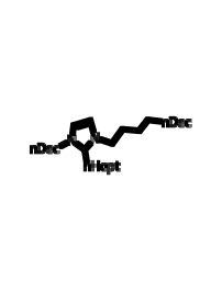 CCCCCCCCCCCCCCN1C=CN(CCCCCCCCCC)C1CCCCCCC